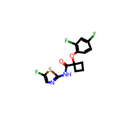 O=C(Nc1ncc(F)s1)C1(Oc2ccc(F)cc2F)CCC1